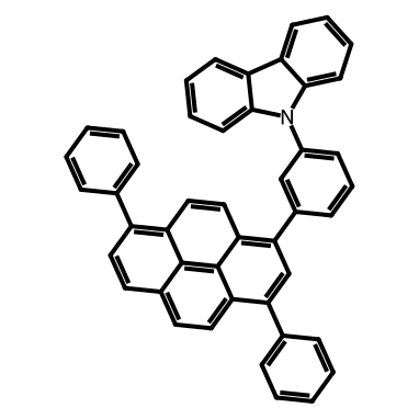 c1ccc(-c2ccc3ccc4c(-c5ccccc5)cc(-c5cccc(-n6c7ccccc7c7ccccc76)c5)c5ccc2c3c45)cc1